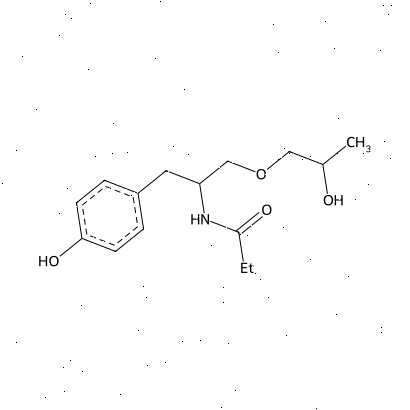 CCC(=O)NC(COCC(C)O)Cc1ccc(O)cc1